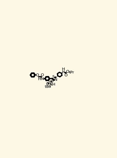 CC(C)OC(=O)N[C@H]1CC[C@H](c2ncc(-c3ccc(NC(=O)COc4ccccc4)cc3S(=O)(=O)NC(C)(C)C)s2)CC1